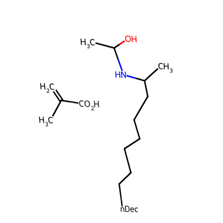 C=C(C)C(=O)O.CCCCCCCCCCCCCCCCC(C)NC(C)O